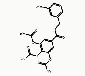 CCCC(=O)Oc1cc(C(=O)OCc2cccc(OC)c2)cc(OC(=O)CCC)c1OC(=O)CCC